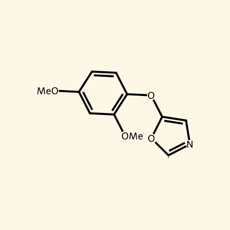 COc1ccc(Oc2cn[c]o2)c(OC)c1